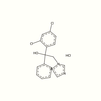 Cl.OC(Cn1cncn1)(c1ccccc1)c1ccc(Cl)cc1Cl